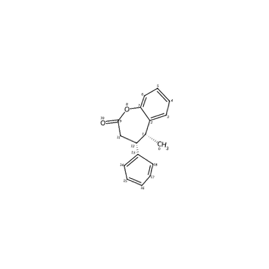 C[C@H]1c2ccccc2OC(=O)C[C@H]1c1ccccc1